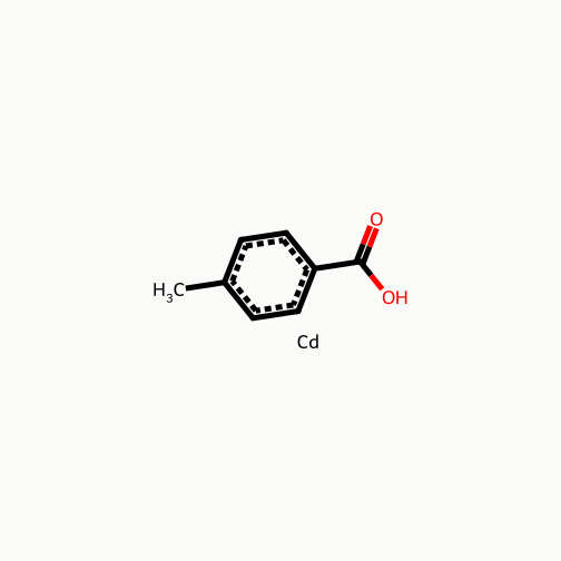 Cc1ccc(C(=O)O)cc1.[Cd]